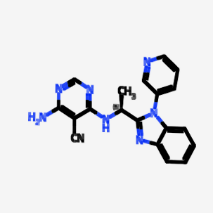 C[C@H](Nc1ncnc(N)c1C#N)c1nc2ccccc2n1-c1cccnc1